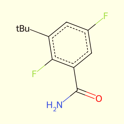 CC(C)(C)c1cc(F)cc(C(N)=O)c1F